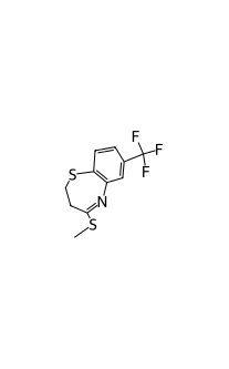 CSC1=Nc2cc(C(F)(F)F)ccc2SCC1